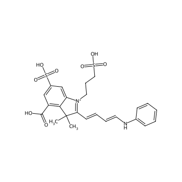 CC1(C)C(/C=C/C=C/Nc2ccccc2)=[N+](CCCS(=O)(=O)O)c2cc(S(=O)(=O)O)cc(C(=O)O)c21